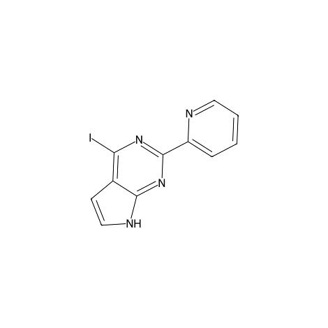 Ic1nc(-c2ccccn2)nc2[nH]ccc12